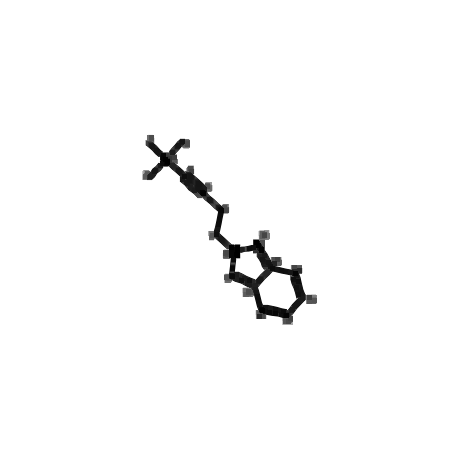 C[Si](C)(C)C#CCCn1cc2ccccc2n1